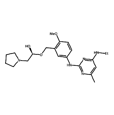 CCNc1cc(C)nc(Nc2ccc(OC)c(CO[C@H](O)CN3CCCC3)c2)n1